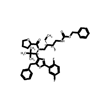 CC[C@@H](CN(C(=O)C1CCCO1)[C@@H](c1nc(-c2cc(F)ccc2F)sc1Cc1ccccc1)C(C)(C)C)[C@@H](F)CNC(=O)OCc1ccccc1